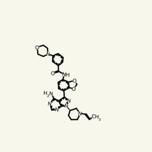 CC=CN1CCC[C@@H](n2nc(-c3ccc(NC(=O)c4cccc(N5CCOCC5)c4)c4c3OCO4)c3c(N)ncnc32)C1